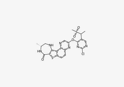 CC(c1cnc(Cl)nc1Oc1cnc2c(ccc3sc4c(c32)NC[C@@H](C)NC4=O)n1)S(C)(=O)=O